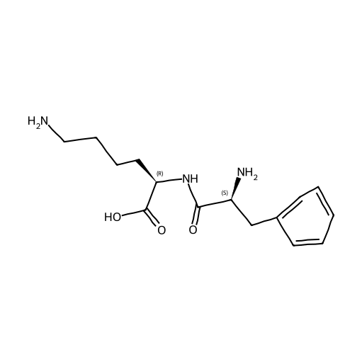 NCCCC[C@@H](NC(=O)[C@@H](N)Cc1ccccc1)C(=O)O